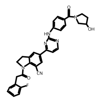 N#Cc1cc(-c2ccnc(Nc3ccc(C(=O)N4CCC(O)C4)cc3)n2)cc2c1N(C(=O)Cc1ccccc1F)CC2